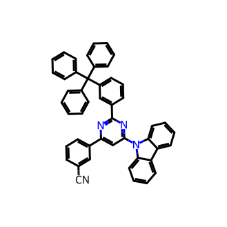 N#Cc1cccc(-c2cc(-n3c4ccccc4c4ccccc43)nc(-c3cccc(C(c4ccccc4)(c4ccccc4)c4ccccc4)c3)n2)c1